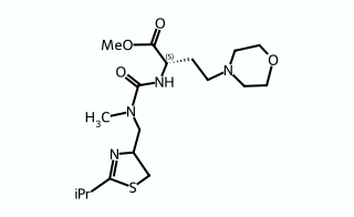 COC(=O)[C@H](CCN1CCOCC1)NC(=O)N(C)CC1CSC(C(C)C)=N1